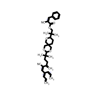 C=C/C=C(\C=C/C)/C=C(/C#N)C(=C)CCC(C)(C)C1OCC2(CCC(C(C)(C)COC(=O)/C(C#N)=C\c3ccccc3)OC2)CO1